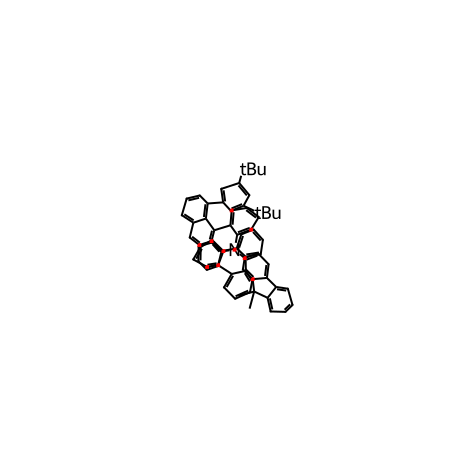 CC(C)(C)c1cc(-c2cccc3cccc(-c4ccccc4N(c4ccc5c(c4)C(C)(C)c4ccccc4-5)c4ccccc4-c4ccccc4-c4ccccc4-c4ccccc4)c23)cc(C(C)(C)C)c1